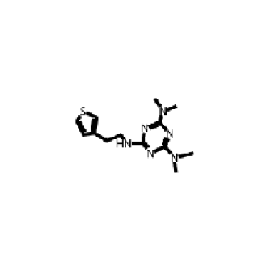 CN(C)c1nc(NCCc2ccsc2)nc(N(C)C)n1